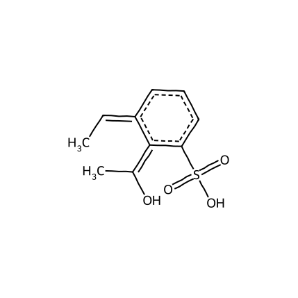 C/C=c1/cccc(S(=O)(=O)O)/c1=C(/C)O